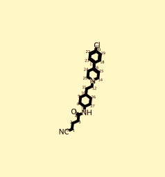 N#CCCCC(=O)NC1CCC(CCN2CC=C(c3ccc(Cl)cc3)CC2)CC1